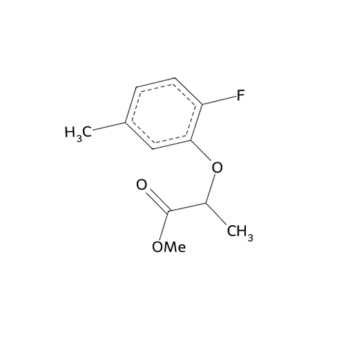 COC(=O)C(C)Oc1cc(C)ccc1F